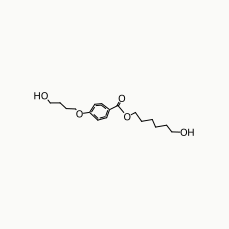 O=C(OCCCCCCO)c1ccc(OCCCCO)cc1